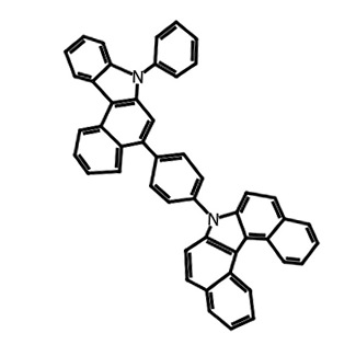 c1ccc(-n2c3ccccc3c3c4ccccc4c(-c4ccc(-n5c6ccc7ccccc7c6c6c7ccccc7ccc65)cc4)cc32)cc1